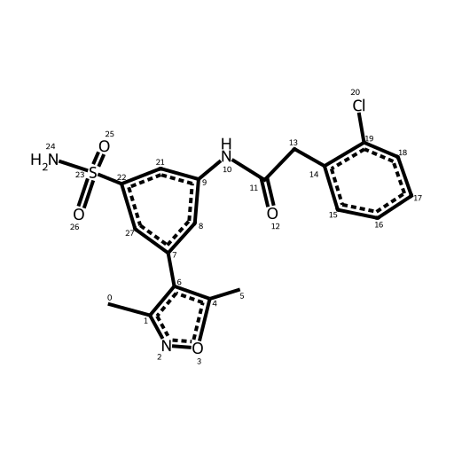 Cc1noc(C)c1-c1cc(NC(=O)Cc2ccccc2Cl)cc(S(N)(=O)=O)c1